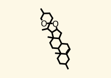 CC1CCC2(OC1)OC1CC3C4CC=C5CC(C)CCC5(C)C4CCC3(C)C1C2C